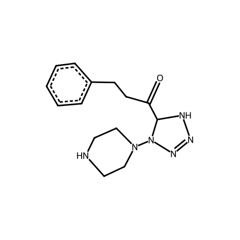 O=C(CCc1ccccc1)C1NN=NN1N1CCNCC1